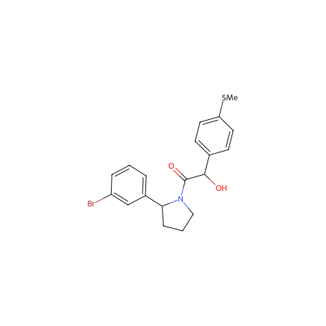 CSc1ccc(C(O)C(=O)N2CCCC2c2cccc(Br)c2)cc1